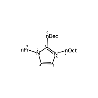 CCCCCCCCCCc1n(CCC)cc[n+]1CCCCCCCC